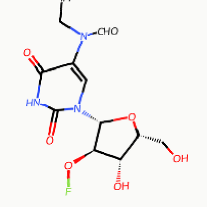 CC(C)CN(C=O)c1cn([C@@H]2O[C@H](CO)[C@H](O)[C@H]2OF)c(=O)[nH]c1=O